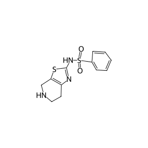 O=S(=O)(Nc1nc2c(s1)CNCC2)c1ccccc1